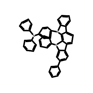 c1ccc(-c2ccc3c4ccc5c6ccccc6n(-c6ccc(N(c7ccccc7)c7ccccc7)cc6)c5c4n(-c4ccccc4)c3c2)cc1